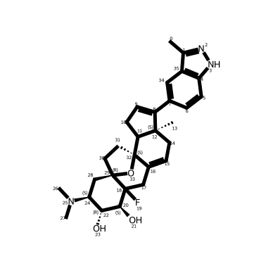 Cc1n[nH]c2ccc(C3=CCC4[C@]3(C)CC=C3CC5(F)[C@@H](O)[C@H](O)[C@@H](N(C)C)C[C@]56CC[C@@]34O6)cc12